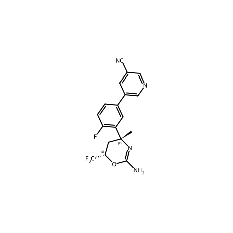 C[C@]1(c2cc(-c3cncc(C#N)c3)ccc2F)C[C@@H](C(F)(F)F)OC(N)=N1